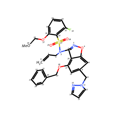 C=CCN(c1noc2cc(Cn3cccn3)cc(OCc3ccccc3)c12)S(=O)(=O)c1c(F)cccc1OCOC